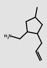 C=CCC1CC(C)CC1CN